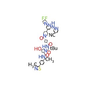 Cc1ncsc1-c1ccc([C@H](C)NC(=O)C2C[C@@H](O)CN2C(=O)[C@H](NC(=O)[C@H]2C[C@@H](C(=O)N3CCC(c4cc(Nc5cc(C#N)ccn5)nc(N5CCC(F)(F)C5)c4)CC3)C2)C(C)(C)C)cc1